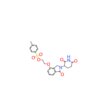 Cc1ccc(S(=O)(=O)OCCOc2cccc3c2CN(C2CCC(=O)NC2=O)C3=O)cc1